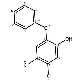 Oc1cc(Cl)c(Cl)cc1Oc1ccccc1